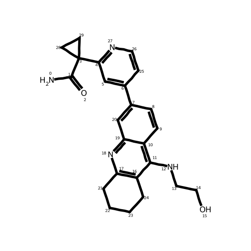 NC(=O)C1(c2cc(-c3ccc4c(NCCO)c5c(nc4c3)CCCC5)ccn2)CC1